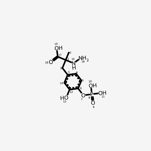 CC(Cc1ccc(OP(=O)(O)O)c(O)c1)(NN)C(=O)O